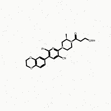 COCCC(=O)N1CCN(c2nc(C(C)C)c(-c3ccc4c(c3)OCCO4)cc2C#N)C[C@H]1C